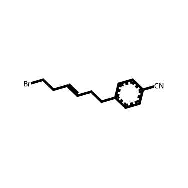 N#Cc1ccc(CCC=CCCBr)cc1